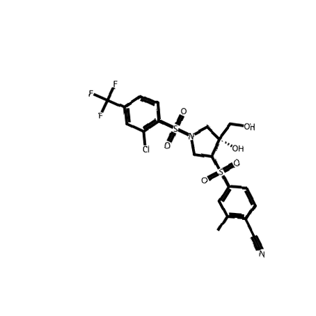 Cc1cc(S(=O)(=O)C2CN(S(=O)(=O)c3ccc(C(F)(F)F)cc3Cl)C[C@@]2(O)CO)ccc1C#N